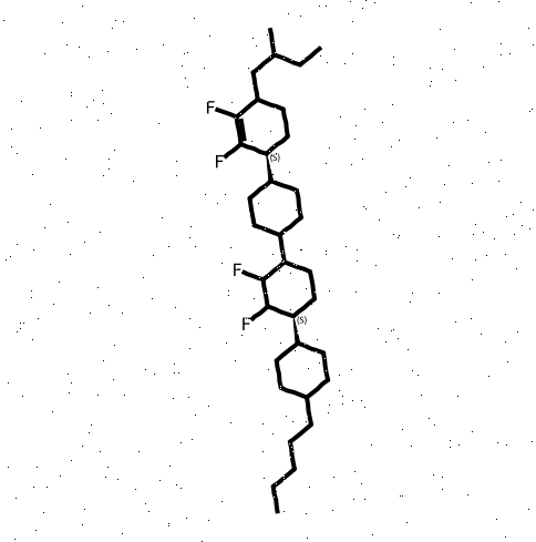 CCCCCC1CCC([C@@H]2CCC(C3CCC([C@@H]4CCC(CC(C)CC)C(F)=C4F)CC3)C(F)C2F)CC1